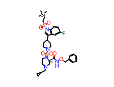 C[Si](C)(C)CCS(=O)(=O)n1cc(C2CCN(S(=O)(=O)N3CCN(CC4CC4)C[C@@H]3C(=O)NOCc3ccccc3)CC2)c2cc(F)ccc21